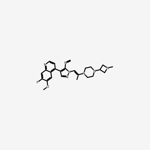 C=Nc1c(-c2ccnc3cc(F)c(OC)cc23)cnn1/C=C(\C)N1CCN(C2CN(C)C2)CC1